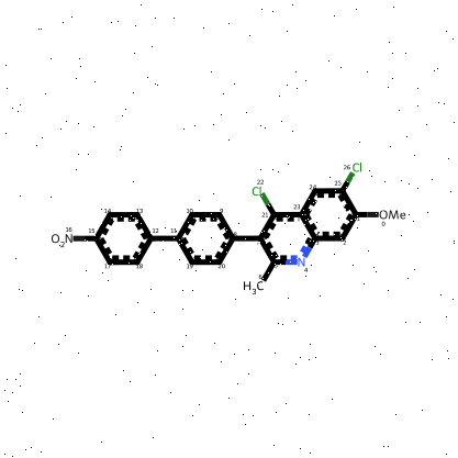 COc1cc2nc(C)c(-c3ccc(-c4ccc([N+](=O)[O-])cc4)cc3)c(Cl)c2cc1Cl